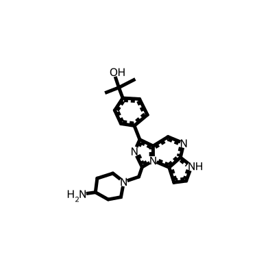 CC(C)(O)c1ccc(-c2nc(CN3CCC(N)CC3)n3c2cnc2[nH]ccc23)cc1